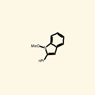 CCCc1cc2ccccc2n1OC